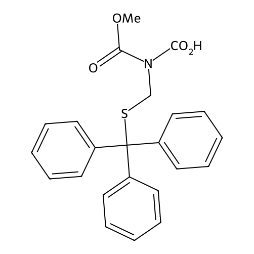 COC(=O)N(CSC(c1ccccc1)(c1ccccc1)c1ccccc1)C(=O)O